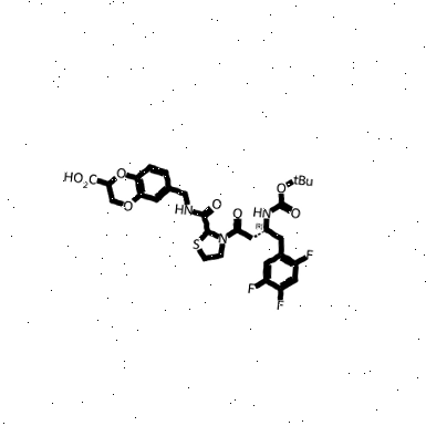 CC(C)(C)OC(=O)N[C@@H](CC(=O)N1CCSC1C(=O)NCc1ccc2c(c1)OCC(C(=O)O)O2)Cc1cc(F)c(F)cc1F